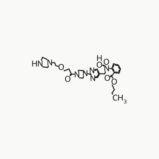 CCCCOC(=O)c1ccccc1N(Cc1cnc(N2CCN(C(=O)CCOCCN3CCNCC3)CC2)nc1)C(=O)O